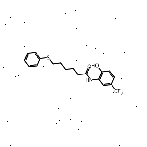 O=C(CCCCCSc1ccccc1)Nc1cc(C(F)(F)F)ccc1O